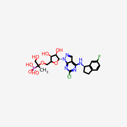 CC(CO)(OCC1O[C@@H](n2ncc3c(N[C@@H]4CCc5ccc(F)cc54)nc(Cl)nc32)[C@H](O)[C@@H]1O)P(=O)(O)O